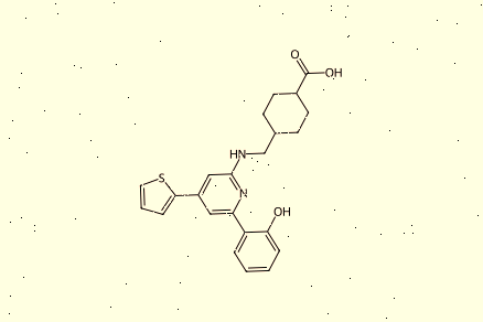 O=C(O)C1CCC(CNc2cc(-c3cccs3)cc(-c3ccccc3O)n2)CC1